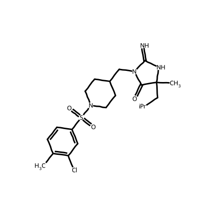 Cc1ccc(S(=O)(=O)N2CCC(CN3C(=N)NC(C)(CC(C)C)C3=O)CC2)cc1Cl